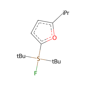 CC(C)c1ccc(S(F)(C(C)(C)C)C(C)(C)C)o1